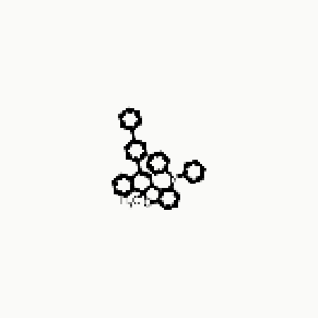 CC12Oc3cccc(N(c4ccccc4)c4ccccc4)c3C1C=C(c1ccc(-c3ccccc3)cc1)c1ccccc12